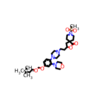 C[Si](C)(C)CCOCOc1ccc(N2CCN(CCC3CC4(CCN(S(C)(=O)=O)CC4)C(=O)O3)CC2)c(N2CCOCC2)c1